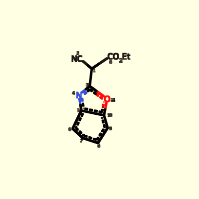 CCOC(=O)C(C#N)c1nc2ccccc2o1